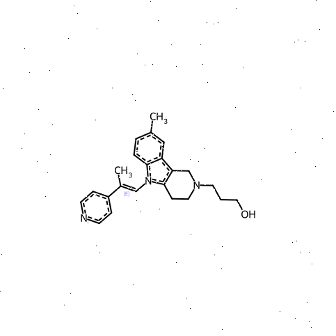 C/C(=C\n1c2c(c3cc(C)ccc31)CN(CCCO)CC2)c1ccncc1